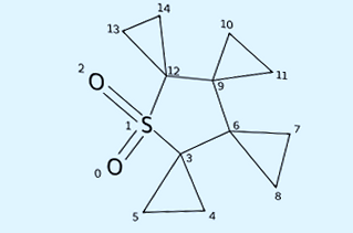 O=S1(=O)C2(CC2)C2(CC2)C2(CC2)C12CC2